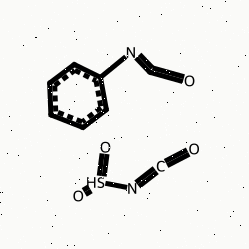 O=C=N[SH](=O)=O.O=C=Nc1ccccc1